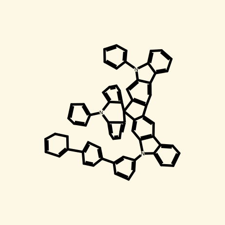 C1=CCCC(c2ccc(-c3cccc(-n4c5ccccc5c5cc6c(cc54)C4(c5cc7c(cc5-6)c5ccccc5n7-c5ccccc5)c5ccccc5N(c5ccccc5)c5ccccc54)c3)cc2)=C1